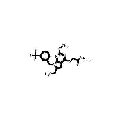 CCc1cc2c(OCC(=O)OC)nc(SC)nc2n1Cc1cccc(C(F)(F)F)c1